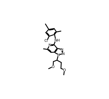 COCCC(COC)n1nnc2c(Nc3c(C)cc(C)cc3Cl)nc(C)cc21